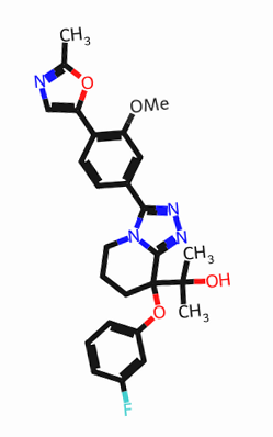 COc1cc(-c2nnc3n2CCCC3(Oc2cccc(F)c2)C(C)(C)O)ccc1-c1cnc(C)o1